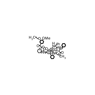 C=CCOc1cc(C(=O)C(=O)N2CCCC[C@H]2C(=O)N[C@H](CCc2ccccc2)C(=O)NCC(=O)NC(C(=O)NC(CC(=O)N(C)CC(=O)NCCC)Cc2ccccc2)C(C)C)ccc1OC